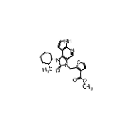 COC(=O)c1ccoc1Cn1c(=O)n([C@H]2CCCC[C@H]2C)c2c3cc[nH]c3ncc21